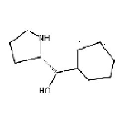 OC(C1CCCCC1)[C@@H]1CCCN1